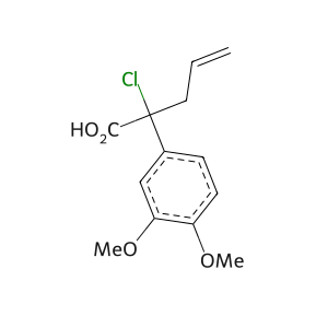 C=CCC(Cl)(C(=O)O)c1ccc(OC)c(OC)c1